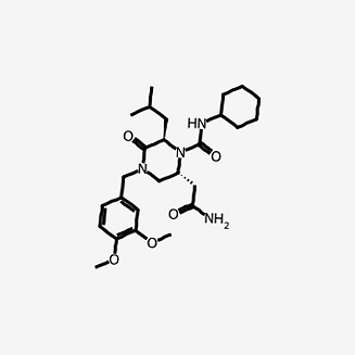 COc1ccc(CN2C[C@@H](CC(N)=O)N(C(=O)NC3CCCCC3)[C@H](CC(C)C)C2=O)cc1OC